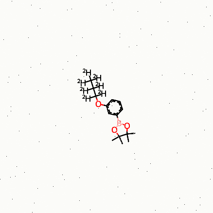 [2H]C([2H])([2H])C([2H])([2H])C([2H])([2H])Oc1cccc(B2OC(C)(C)C(C)(C)O2)c1